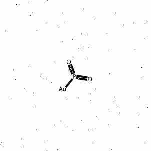 O=[P](=O)[Au]